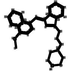 COc1ccc(C=C2C=C(CCCN3CCOCC3)c3ccccc32)c2ccccc12